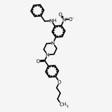 CCCCOc1ccc(C(=O)N2CCN(c3ccc([N+](=O)[O-])c(NCc4ccccc4)c3)CC2)cc1